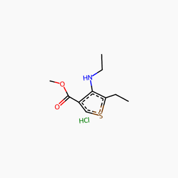 CCNc1c(C(=O)OC)csc1CC.Cl